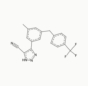 Cc1cc(Cc2ccc(C(F)(F)F)cc2)cc(-c2nn[nH]c2C#N)c1